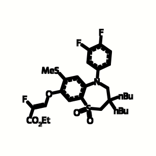 CCCCC1(CCCC)CN(c2ccc(F)c(F)c2)c2cc(SC)c(O/C=C(\F)C(=O)OCC)cc2S(=O)(=O)C1